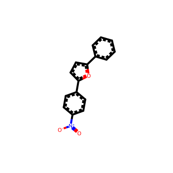 O=[N+]([O-])c1ccc(-c2ccc(-c3ccccc3)o2)cc1